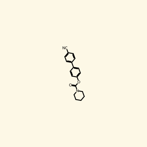 N#Cc1ccc(-c2ccc(OC(=O)N3CCCCC3)cc2)cc1